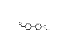 CCOc1ccc(-c2ccc(C=O)cc2)cc1